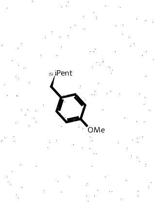 CCC[C@H](C)Cc1ccc(OC)cc1